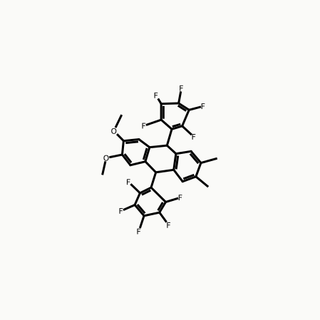 COc1cc2c(cc1OC)C(c1c(F)c(F)c(F)c(F)c1F)c1cc(C)c(C)cc1C2c1c(F)c(F)c(F)c(F)c1F